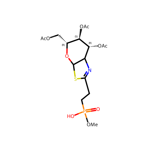 COP(=O)(O)CCC1=NC2C(O[C@H](COC(C)=O)[C@@H](OC(C)=O)[C@@H]2OC(C)=O)S1